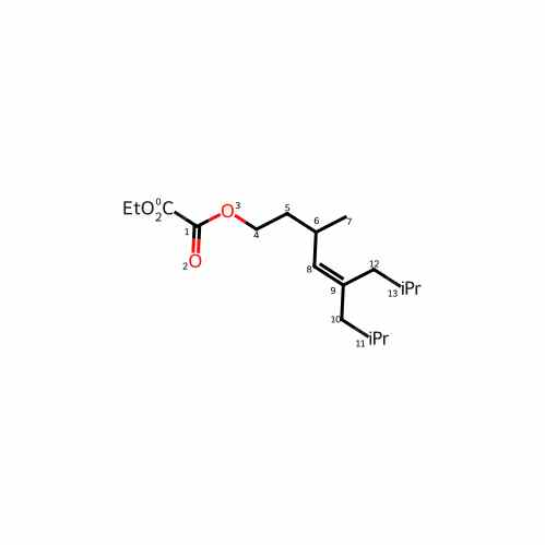 CCOC(=O)C(=O)OCCC(C)C=C(CC(C)C)CC(C)C